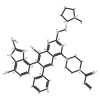 C=CC(=O)N1CCN(c2nc(OC[C@@H]3CCCN3C)nc3c(F)c(-c4ccc(F)c5sc(N)nc45)c(-c4cccnc4)cc23)CC1